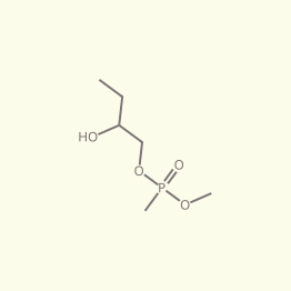 CCC(O)COP(C)(=O)OC